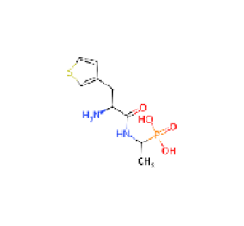 CC(NC(=O)[C@@H](N)Cc1ccsc1)P(=O)(O)O